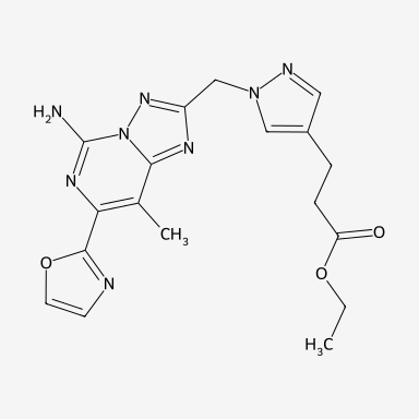 CCOC(=O)CCc1cnn(Cc2nc3c(C)c(-c4ncco4)nc(N)n3n2)c1